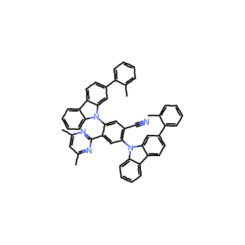 Cc1cc(C)nc(-c2cc(-n3c4ccccc4c4ccc(-c5ccccc5C)cc43)c(C#N)cc2-n2c3ccccc3c3ccc(-c4ccccc4C)cc32)n1